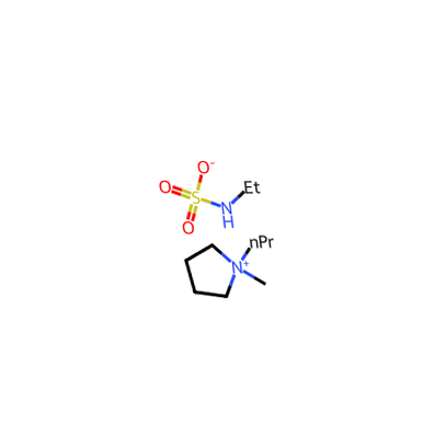 CCC[N+]1(C)CCCC1.CCNS(=O)(=O)[O-]